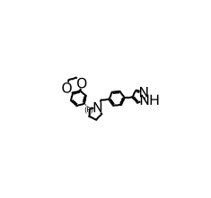 c1cc(-c2cn[nH]c2)ccc1CN1CCC[C@@H]1c1ccc2c(c1)OCCO2